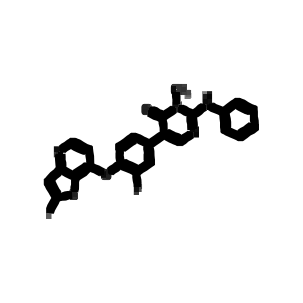 Cn1c(Nc2ccccc2)ncc(-c2ccc(Oc3ccnc4cc(I)sc34)c(F)c2)c1=O